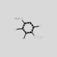 COc1cc(Cl)c(C(=O)O)c(C)c1Cl